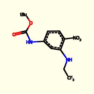 CC(C)(C)OC(=O)Nc1ccc([N+](=O)[O-])c(NCC(F)(F)F)c1